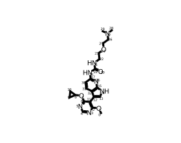 COc1ncnc(OC2CC2)c1-c1c[nH]c2nc(NC(=O)NCCOCCN(C)C)ccc12